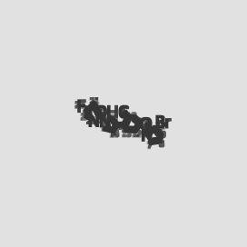 O=Cc1cc(Oc2ncccc2Br)ccc1C1CCN(c2ccc(F)cn2)C1